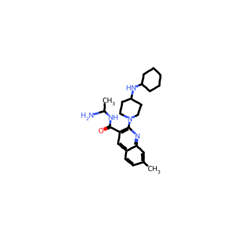 Cc1ccc2cc(C(=O)NC(C)N)c(N3CCC(NC4CCCCC4)CC3)nc2c1